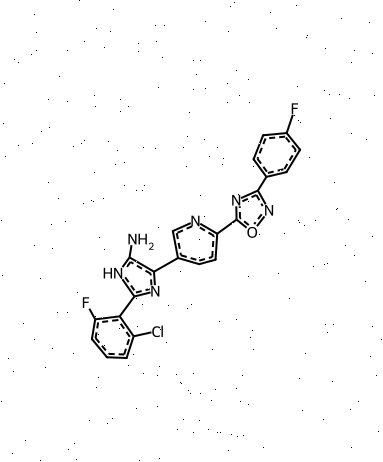 Nc1[nH]c(-c2c(F)cccc2Cl)nc1-c1ccc(-c2nc(-c3ccc(F)cc3)no2)nc1